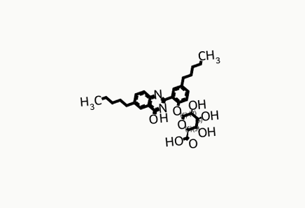 CCCCCc1ccc(O[C@@H]2O[C@H](C(=O)O)[C@@H](O)[C@H](O)[C@H]2O)c(-c2nc3ccc(CCCCC)cc3c(=O)[nH]2)c1